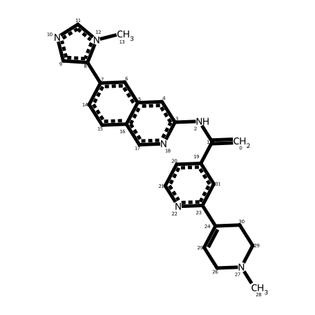 C=C(Nc1cc2cc(-c3cncn3C)ccc2cn1)c1ccnc(C2=CCN(C)CC2)c1